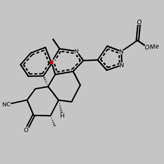 COC(=O)n1cc(-c2nc(C)nc3c2CC[C@H]2[C@H](C)C(=O)C(C#N)C[C@@]32c2ccccc2)cn1